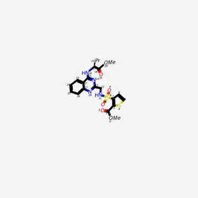 COC(=O)c1sccc1S(=O)(=O)NCc1nc(N[C@H](C(=O)OC)C(C)C)c2ccccc2n1